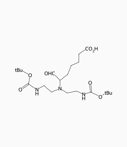 CC(C)(C)OC(=O)NCCN(CCNC(=O)OC(C)(C)C)C(C=O)CCCCC(=O)O